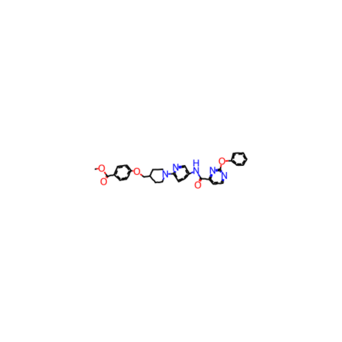 COC(=O)c1ccc(OCC2CCN(c3ccc(NC(=O)c4ccnc(Oc5ccccc5)n4)cn3)CC2)cc1